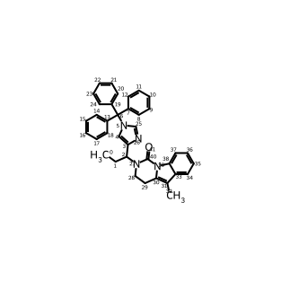 CCC(c1cn(C(c2ccccc2)(c2ccccc2)c2ccccc2)cn1)N1CCc2c(C)c3ccccc3n2C1=O